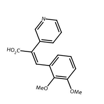 COc1cccc(C=C(C(=O)O)c2cccnc2)c1OC